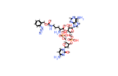 [N-]=[N+]=Nc1ccccc1COC(=O)NCCC[C@H](N)C(=O)O[C@H]1[C@@H](O)[C@H](n2cnc3c(N)ncnc32)O[C@@H]1COP(=O)(O)O[C@H]1C[C@H](n2ccc(N)nc2=O)O[C@@H]1COP(=O)(O)O